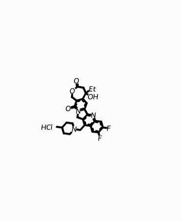 CCC1(O)CC(=O)OCc2c1cc1n(c2=O)Cc2c-1nc1cc(F)c(F)cc1c2CN1CCC(C)CC1.Cl